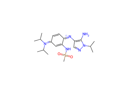 CC(C)n1ncc(/N=C2/C=CC(=[N+](C(C)C)C(C)C)C=C2NS(C)(=O)=O)c1N